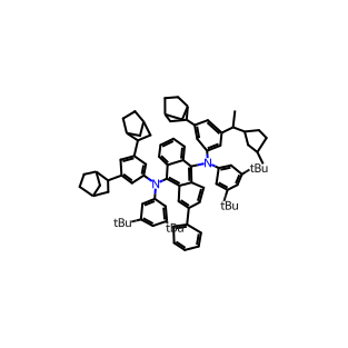 CC1CCC(C(C)c2cc(C3CC4CCC3C4)cc(N(c3cc(C(C)(C)C)cc(C(C)(C)C)c3)c3c4ccccc4c(N(c4cc(C5CC6CCC5C6)cc(C5CC6CCC5C6)c4)c4cc(C(C)(C)C)cc(C(C)(C)C)c4)c4cc(-c5ccccc5)ccc34)c2)C1